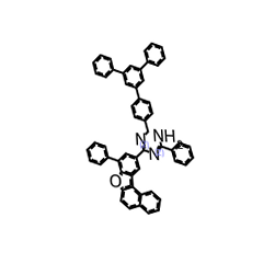 N/C(=N\C(=N/Cc1ccc(-c2cc(-c3ccccc3)cc(-c3ccccc3)c2)cc1)c1cc(-c2ccccc2)c2oc3ccc4ccccc4c3c2c1)c1ccccc1